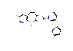 CN1C(=O)C(NC(=O)c2cc(Oc3ccc(F)cc3)ccn2)CCc2cc(Br)cnc21